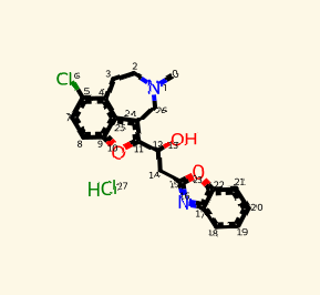 CN1CCc2c(Cl)ccc3oc(C(O)Cc4nc5ccccc5o4)c(c23)C1.Cl